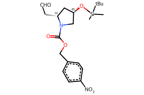 CC(C)(C)[Si](C)(C)O[C@@H]1C[C@@H](CC=O)N(C(=O)OCc2ccc([N+](=O)[O-])cc2)C1